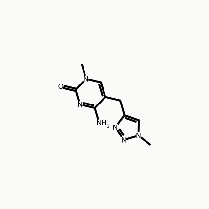 Cn1cc(Cc2cn(C)c(=O)nc2N)nn1